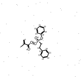 C=C(C)C(=O)OOP(=O)(CCc1ccccc1)Oc1ccccc1